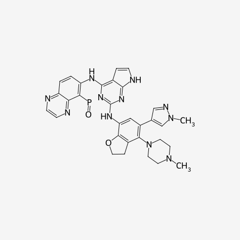 CN1CCN(c2c(-c3cnn(C)c3)cc(Nc3nc(Nc4ccc5nccnc5c4P=O)c4cc[nH]c4n3)c3c2CCO3)CC1